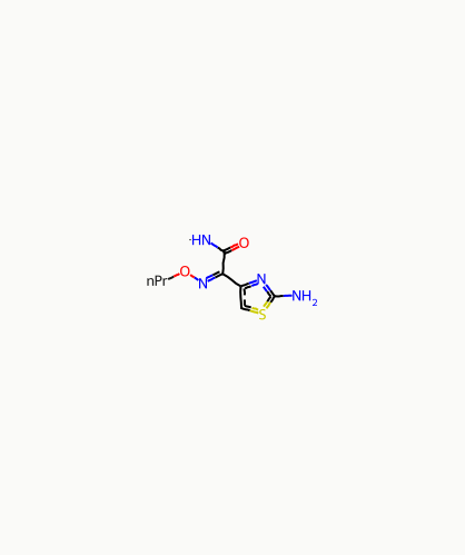 CCCON=C(C([NH])=O)c1csc(N)n1